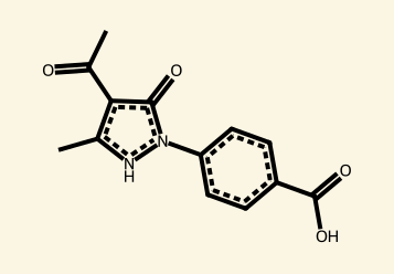 CC(=O)c1c(C)[nH]n(-c2ccc(C(=O)O)cc2)c1=O